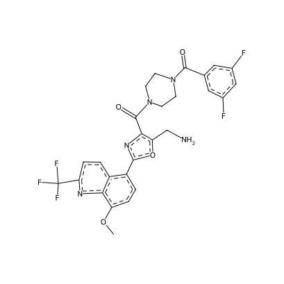 COc1ccc(-c2nc(C(=O)N3CCN(C(=O)c4cc(F)cc(F)c4)CC3)c(CN)o2)c2ccc(C(F)(F)F)nc12